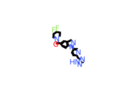 O=C(c1ccc2c(cnn2-c2ccc(-c3ncn[nH]3)nc2)c1)N1CCC(F)(F)CC1